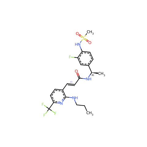 CCCNc1nc(C(F)(F)F)ccc1/C=C/C(=O)N[C@H](C)c1ccc(NS(C)(=O)=O)c(F)c1